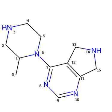 CC1CNCCN1c1n[c]nc2c1CNC2